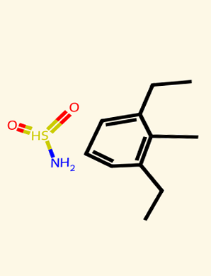 CCc1cccc(CC)c1C.N[SH](=O)=O